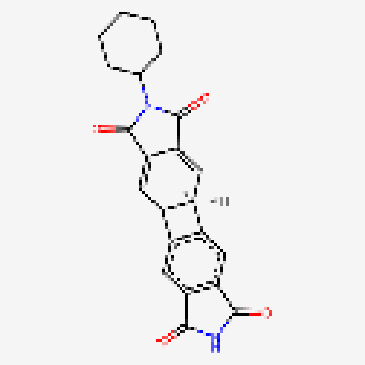 O=C1NC(=O)c2cc3c(cc21)C1C=C2C(=O)N(C4CCCCC4)C(=O)C2=C[C@@H]31